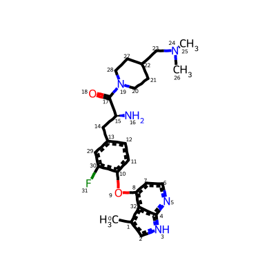 Cc1c[nH]c2nccc(Oc3ccc(C[C@H](N)C(=O)N4CCC(CN(C)C)CC4)cc3F)c12